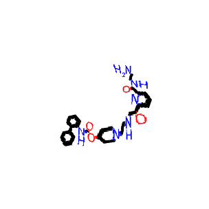 NCCNC(=O)c1cccc(C(=O)CNCCN2CCC(OC(=O)Nc3ccccc3-c3ccccc3)CC2)n1